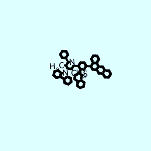 Cc1c(-c2ccccc2)nc(-c2ccc(-c3cc4cc5ccccc5cc4c4ccccc34)c3sc4c5ccccc5ccc4c23)c(C)c1-n1c2ccccc2c2ccccc21